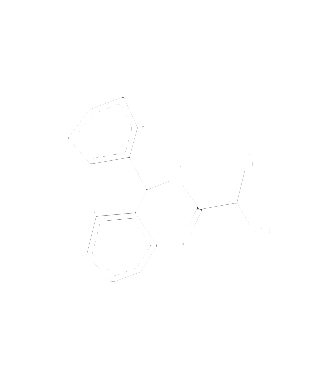 CCCCC(CC)C(=O)OC(c1ccccc1)c1ccccc1